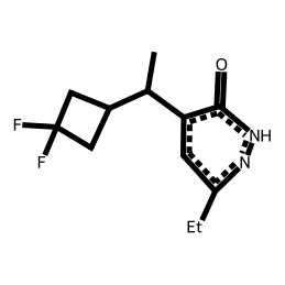 CCc1cc(C(C)C2CC(F)(F)C2)c(=O)[nH]n1